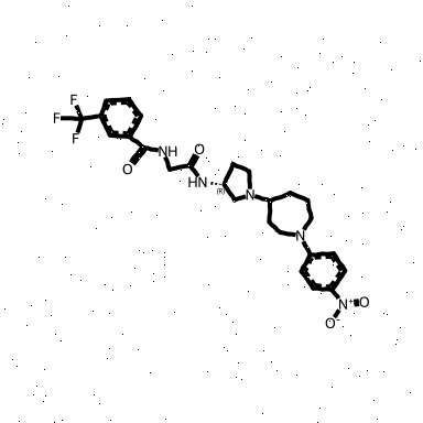 O=C(CNC(=O)c1cccc(C(F)(F)F)c1)N[C@@H]1CCN(C2CCCN(c3ccc([N+](=O)[O-])cc3)CC2)C1